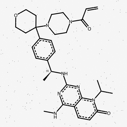 C=CC(=O)N1CCN(C2(c3ccc([C@H](C)Nc4nc(NC)c5ccc(=O)n(C(C)C)c5n4)cc3)CCOCC2)CC1